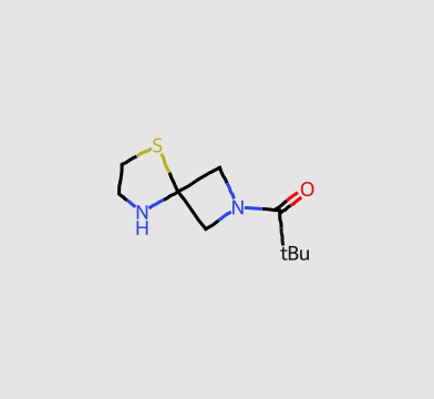 CC(C)(C)C(=O)N1CC2(C1)NCCS2